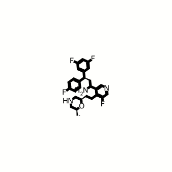 [CH2][C@H]1CNC[C@@H](CCc2c(F)cncc2C(N)C[C@@H](c2ccc(F)cc2)c2cc(F)cc(F)c2)O1